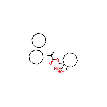 C1CCCCCCCCC1.C1CCCCCCCCC1.C=C(C)C(=O)OCC1(CO)CCCCCCCCC1CO